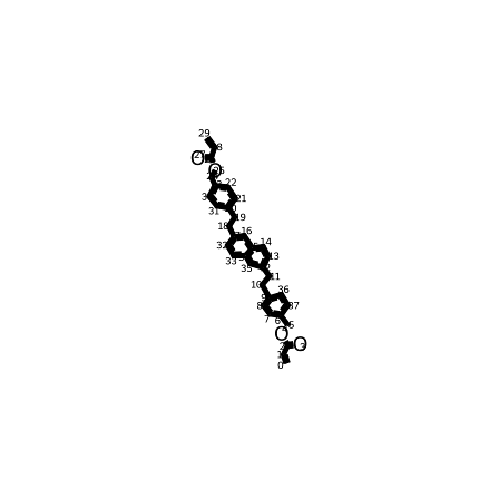 C=CC(=O)OCc1ccc(CCc2ccc3cc(CCc4ccc(COC(=O)C=C)cc4)ccc3c2)cc1